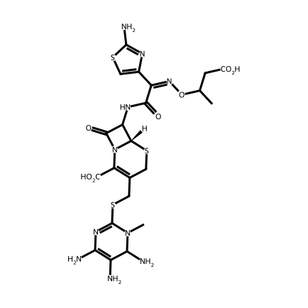 CC(CC(=O)O)O/N=C(\C(=O)NC1C(=O)N2C(C(=O)O)=C(CSC3=NC(N)=C(N)C(N)N3C)CS[C@@H]12)c1csc(N)n1